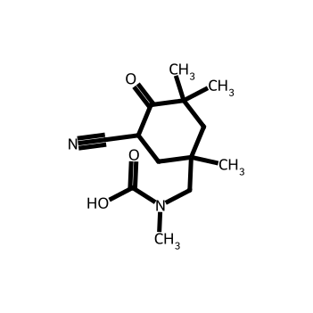 CN(CC1(C)CC(C#N)C(=O)C(C)(C)C1)C(=O)O